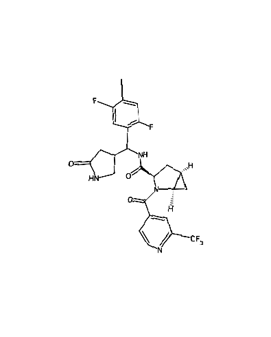 Cc1cc(F)c(C(NC(=O)[C@H]2C[C@H]3C[C@H]3N2C(=O)c2ccnc(C(F)(F)F)c2)C2CNC(=O)C2)cc1F